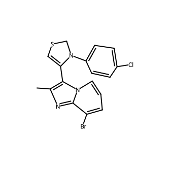 Cc1nc2c(Br)cccn2c1C1=CSCN1c1ccc(Cl)cc1